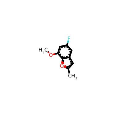 COc1cc(F)cc2cc(C)oc12